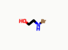 OCCNBr